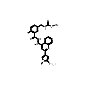 Cc1ccc(CNC(=O)OC(C)(C)C)cc1C(=O)N[C@H](C)c1cc(-c2cc(C(=O)O)n(C)c2)nc2ccccc12